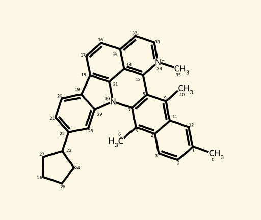 Cc1ccc2c(C)c3c(c(C)c2c1)c1c2c(ccc4c5ccc(C6CCCC6)cc5n3c42)cc[n+]1C